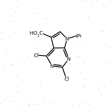 CC(C)n1cc(C(=O)O)c2c(Cl)nc(Cl)nc21